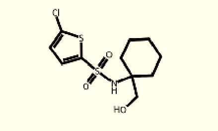 O=S(=O)(NC1(CO)CCCCC1)c1ccc(Cl)s1